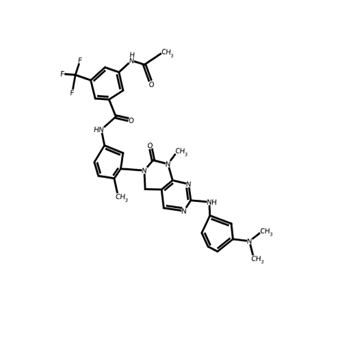 CC(=O)Nc1cc(C(=O)Nc2ccc(C)c(N3Cc4cnc(Nc5cccc(N(C)C)c5)nc4N(C)C3=O)c2)cc(C(F)(F)F)c1